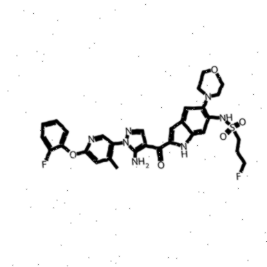 Cc1cc(Oc2ccccc2F)ncc1-n1ncc(C(=O)c2cc3cc(N4CCOCC4)c(NS(=O)(=O)CCCF)cc3[nH]2)c1N